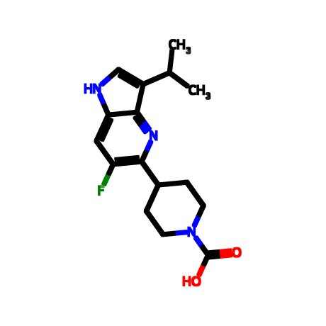 CC(C)c1c[nH]c2cc(F)c(C3CCN(C(=O)O)CC3)nc12